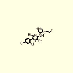 CCc1nc(-c2ccc(Cl)cc2Cl)c(CC)nc1N[C@@H]1CNC[C@@H]1OCCF